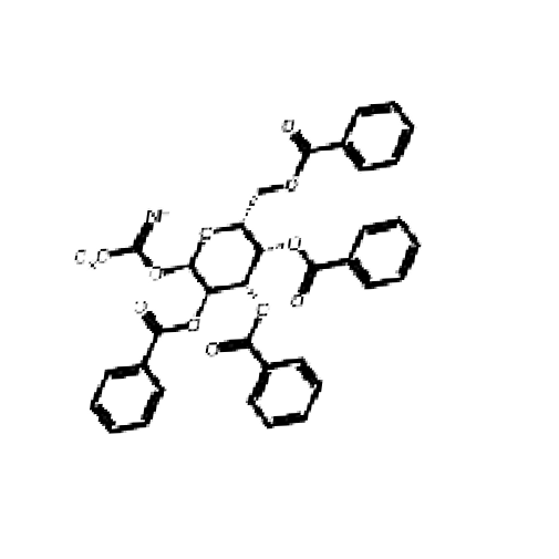 N=C(O[C@H]1O[C@H](COC(=O)c2ccccc2)[C@H](OC(=O)c2ccccc2)[C@H](OC(=O)c2ccccc2)[C@H]1OC(=O)c1ccccc1)C(Cl)(Cl)Cl